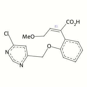 COC/C=C(/C(=O)O)c1ccccc1OCc1cc(Cl)ncn1